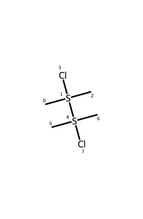 CS(C)(Cl)S(C)(C)Cl